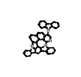 c1ccc2c(c1)ccc1c2c2c3c(cc4c5ccccc5n1c42)c1ccccc1n3-c1ccc(-n2c3ccccc3c3ccccc32)cn1